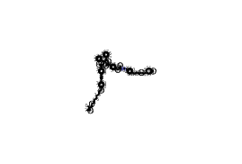 CC1(COCCCCCCOc2ccc(C#Cc3ccc(C(=O)OC(c4ccccc4)C(OC(=O)c4ccc(OC(=O)/C=C/c5ccc(CCCOCC6CCC7OC7C6)cc5)cc4)c4ccccc4)cc3)cc2)CO1